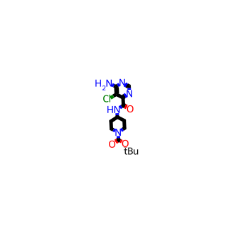 CC(C)(C)OC(=O)N1CCC(NC(=O)c2ncnc(N)c2Cl)CC1